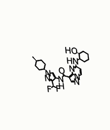 C[C@H]1CC[C@H](n2cc(NC(=O)c3cnn4ccc(N[C@@H]5CCCC[C@H]5O)nc34)c(C(F)F)n2)CC1